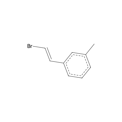 Cc1cccc(C=CBr)c1